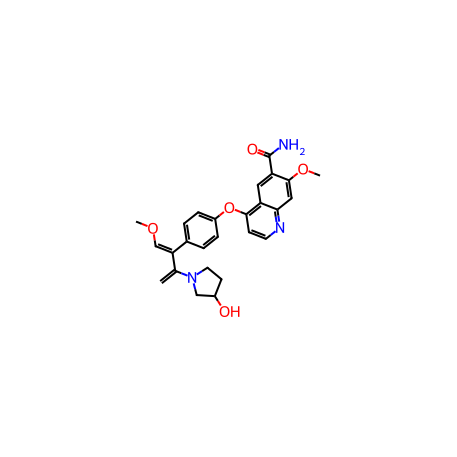 C=C(/C(=C/OC)c1ccc(Oc2ccnc3cc(OC)c(C(N)=O)cc23)cc1)N1CCC(O)C1